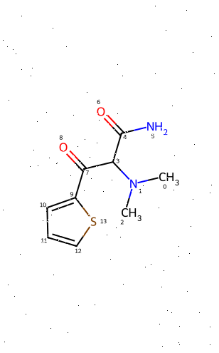 CN(C)C(C(N)=O)C(=O)c1cccs1